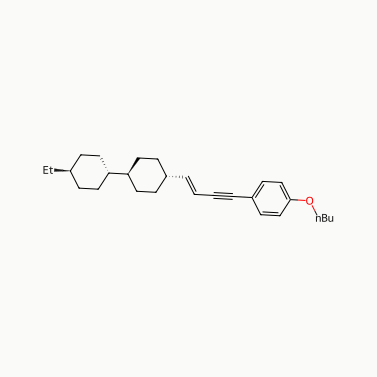 CCCCOc1ccc(C#CC=C[C@H]2CC[C@H]([C@H]3CC[C@H](CC)CC3)CC2)cc1